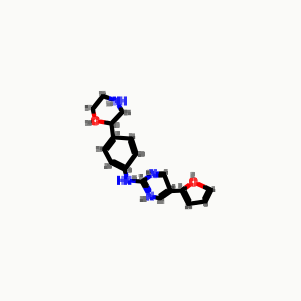 c1coc(-c2cnc(Nc3ccc(C4CNCCO4)cc3)nc2)c1